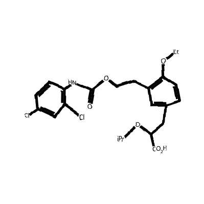 CCOc1ccc(CC(OC(C)C)C(=O)O)cc1CCOC(=O)Nc1ccc(Cl)cc1Cl